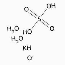 O.O.O=S(=O)(O)O.[Cr].[KH]